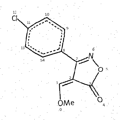 CO/C=C1\C(=O)ON=C1c1ccc(Cl)cc1